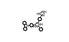 C1=C(c2ccc(C3=NCNCN3)cc2)NC(c2ccccc2)NC1c1ccc(-n2c3ccccc3c3ccccc32)cc1